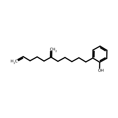 C=CCCCC(=C)CCCCCc1ccccc1O